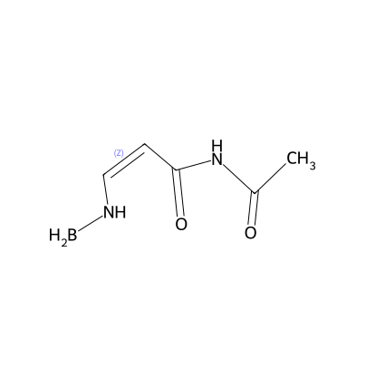 BN/C=C\C(=O)NC(C)=O